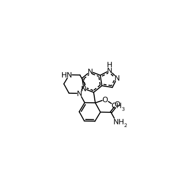 COC1(c2ncnc3[nH]ncc23)C(N2CCNCC2)=CC=CC1C(N)=O